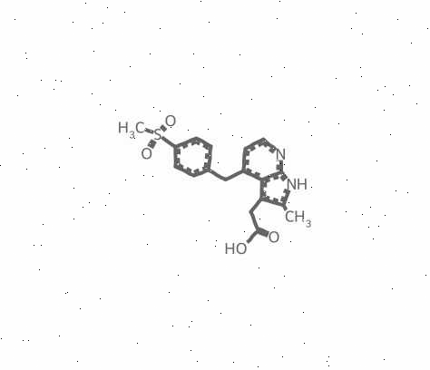 Cc1[nH]c2nccc(Cc3ccc(S(C)(=O)=O)cc3)c2c1CC(=O)O